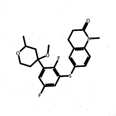 COC1(c2cc(F)cc(Sc3ccc4c(c3)CCC(=O)N4C)c2F)CCOC(C)C1